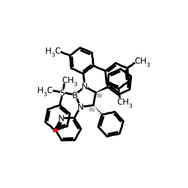 Cc1cc(C)cc(-c2ccc(C)cc2N2B(S(C)(C)c3ccccc3)N(c3ccccn3)[C@@H](c3ccccc3)[C@@H]2c2ccccc2)c1